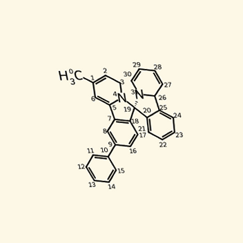 CC1=CCN2C(=C1)c1cc(-c3ccccc3)ccc1[C@]21c2ccccc2C2C=CC=CN21